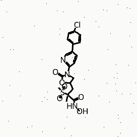 CC(CC1CN(c2ccc(-c3ccc(Cl)cc3)cn2)C(=O)O1)(C(=O)NO)S(C)(=O)=O